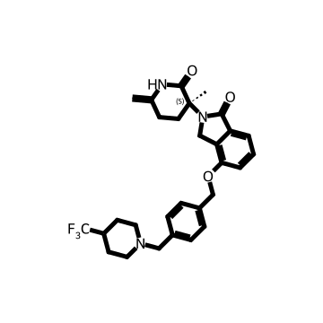 C=C1CC[C@](C)(N2Cc3c(OCc4ccc(CN5CCC(C(F)(F)F)CC5)cc4)cccc3C2=O)C(=O)N1